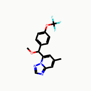 COC(c1ccc(OC(F)(F)F)cc1)c1cc(C)cc2ncnn12